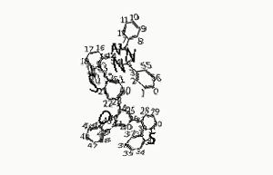 c1ccc(-c2nc(-c3ccccc3)nc(-c3cccc4sc5cc(-c6cc(-c7cccc8sc9ccccc9c78)cc7c6oc6ccccc67)ccc5c34)n2)cc1